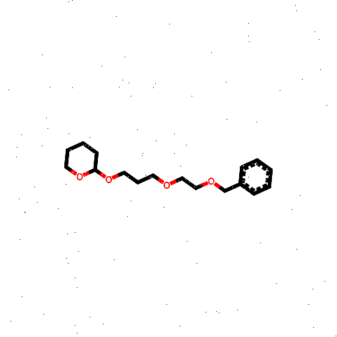 c1ccc(COCCOCCCOC2CCCCO2)cc1